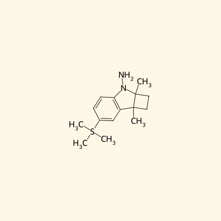 CC12CCC1(C)N(N)c1ccc(S(C)(C)C)cc12